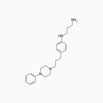 NCCCNc1ccc(CCCN2CCN(c3ccccc3)CC2)cc1